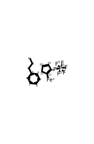 CCCc1ccccc1.F[P-](F)(F)(F)(F)F.[Fe+][C]1=CC=CC1